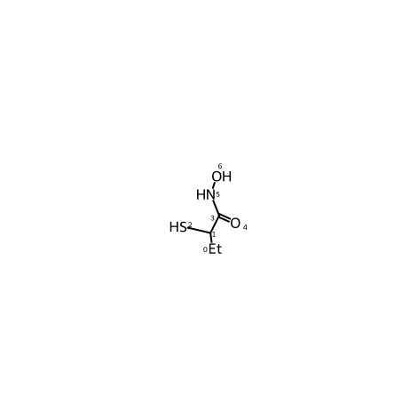 CCC(S)C(=O)NO